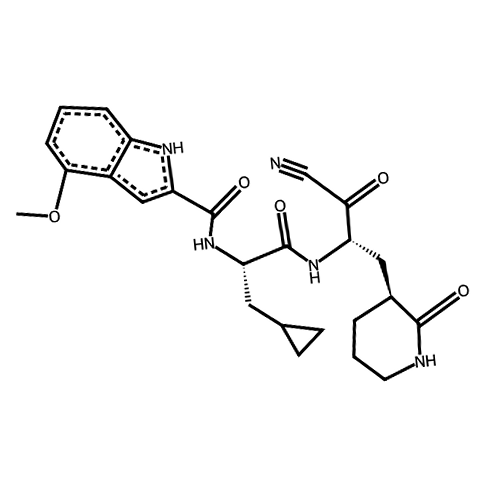 COc1cccc2[nH]c(C(=O)N[C@@H](CC3CC3)C(=O)N[C@@H](C[C@@H]3CCCNC3=O)C(=O)C#N)cc12